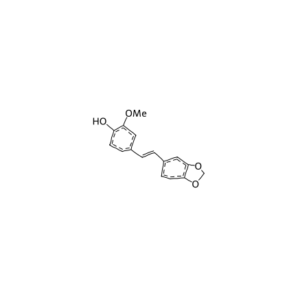 COc1cc(/C=C/c2ccc3c(c2)OCO3)ccc1O